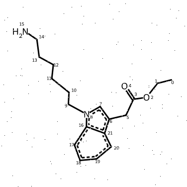 CCOC(=O)Cc1cn(CCCCCCN)c2ccccc12